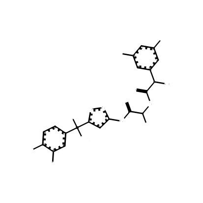 CC(NC(=O)C(O)c1cc(F)cc(F)c1)C(=O)Nc1cc(C(C)(C)c2ccc(F)c(F)c2)n[nH]1